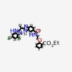 CCOC(=O)c1ccccc1OCCNC(=O)c1ccc2nc(C(C)c3nc4c(F)cc(F)cc4[nH]3)n(C)c2c1